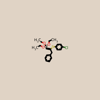 CCO[Si](/C=C(/Cc1ccccc1)Sc1ccc(Cl)cc1)(OCC)OCC